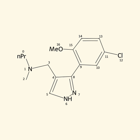 CCCN(C)Cc1c[nH]nc1-c1cc(Cl)ccc1OC